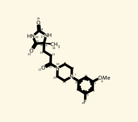 COc1cc(F)cc(N2CCN(C(=O)CC[C@@]3(C)NC(=O)NC3=O)CC2)c1